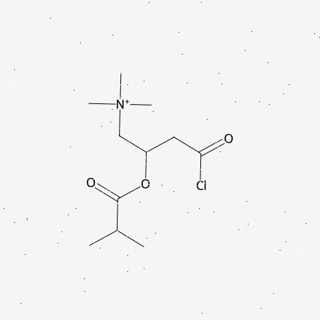 CC(C)C(=O)OC(CC(=O)Cl)C[N+](C)(C)C